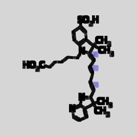 CC1(C)C(/C=C/C=C/C=C2\N(CCCCCC(=O)O)c3ccc(S(=O)(=O)O)cc3C2(C)C)=Nc2ncccc21